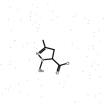 CC1=NN(C(C)(C)C)C(C(=O)Cl)C1